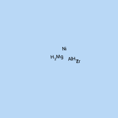 [AlH3].[MgH2].[Ni].[Zr]